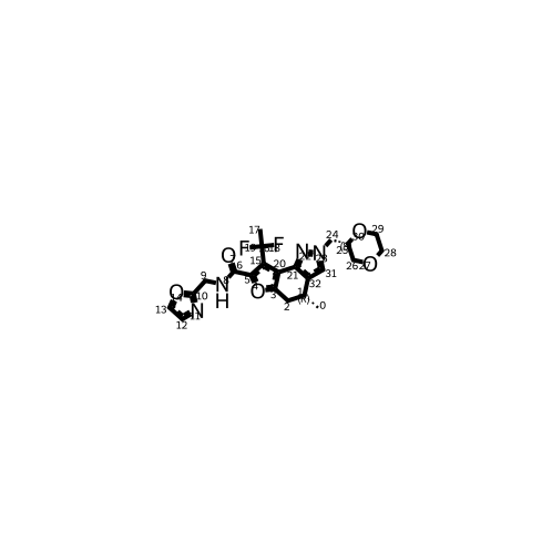 C[C@@H]1Cc2oc(C(=O)NCc3ncco3)c(C(C)(F)F)c2-c2nn(C[C@H]3COCCO3)cc21